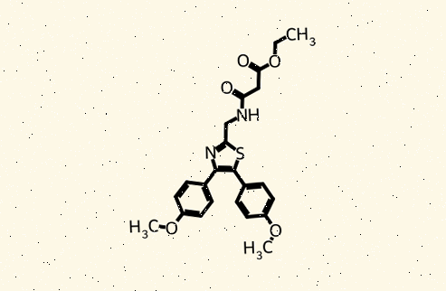 CCOC(=O)CC(=O)NCc1nc(-c2ccc(OC)cc2)c(-c2ccc(OC)cc2)s1